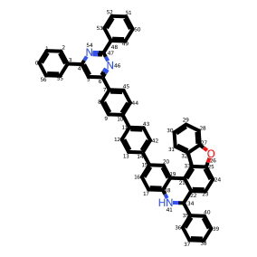 c1ccc(-c2cc(-c3ccc(-c4ccc(-c5ccc6c(c5)-c5c(ccc7oc8ccccc8c57)C(c5ccccc5)N6)cc4)cc3)nc(-c3ccccc3)n2)cc1